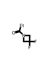 CCC(=O)N1CC(F)(F)C1